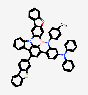 Cc1ccc(N2B3c4cc5oc6ccccc6c5cc4-n4c5ccccc5c5c(-c6ccc7c(c6)sc6ccccc67)cc(c3c54)-c3ccc(N(c4ccccc4)c4ccccc4)cc32)cc1